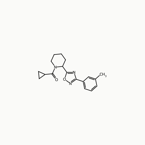 Cc1cccc(-c2noc(C3CCCCN3C(=O)C3CC3)n2)c1